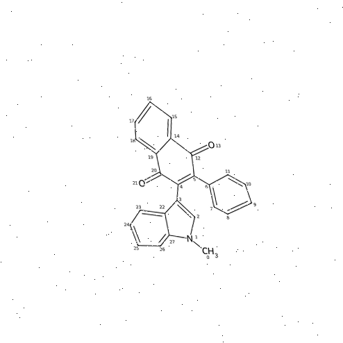 Cn1cc(C2=C(c3ccccc3)C(=O)c3ccccc3C2=O)c2ccccc21